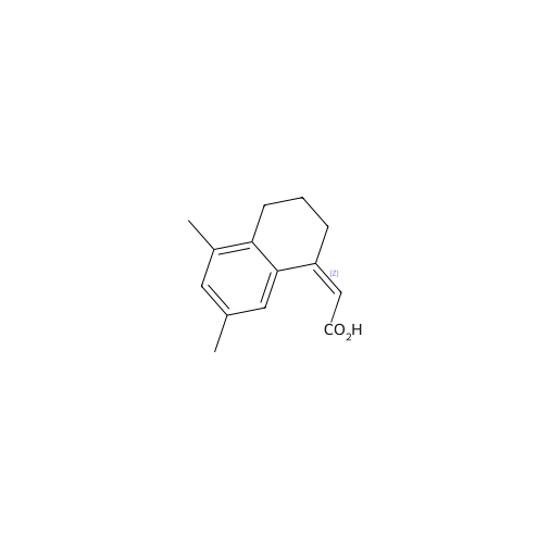 Cc1cc(C)c2c(c1)/C(=C\C(=O)O)CCC2